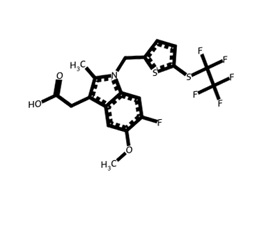 COc1cc2c(CC(=O)O)c(C)n(Cc3ccc(SC(F)(F)C(F)(F)F)s3)c2cc1F